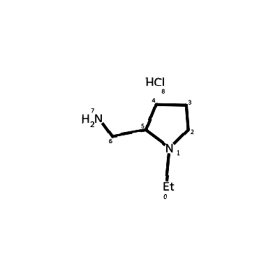 CCN1CCCC1CN.Cl